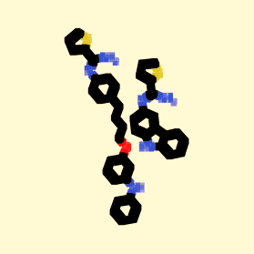 NC(=Nc1ccc(CCCCOc2cccc(Nc3ccccc3)c2)cc1)c1cccs1.NC(=Nc1ccc2[nH]c3ccccc3c2c1)c1cccs1